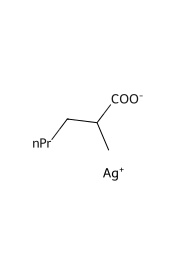 CCCCC(C)C(=O)[O-].[Ag+]